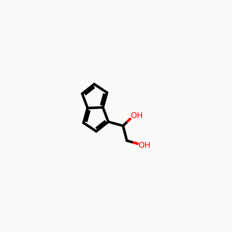 OCC(O)C1=CC=C2C=CC=C21